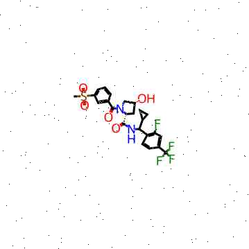 CS(=O)(=O)c1cccc(C(=O)N2C[C@H](O)C[C@@H]2C(=O)NC(c2ccc(C(F)(F)F)cc2F)C2CC2)c1